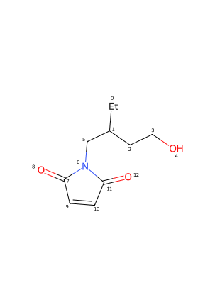 CCC(CCO)CN1C(=O)C=CC1=O